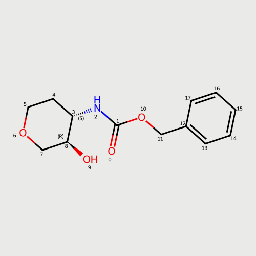 O=C(N[C@H]1CCOC[C@@H]1O)OCc1ccccc1